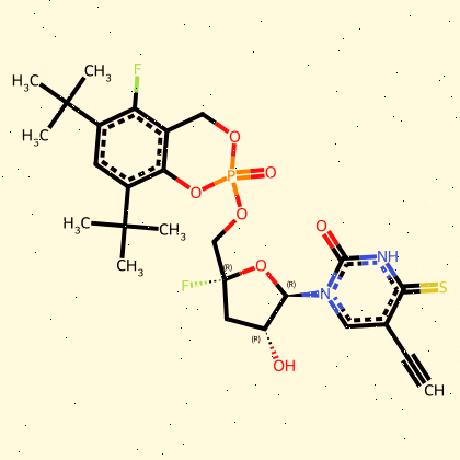 C#Cc1cn([C@@H]2O[C@](F)(COP3(=O)OCc4c(F)c(C(C)(C)C)cc(C(C)(C)C)c4O3)C[C@H]2O)c(=O)[nH]c1=S